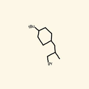 [CH2]C(C)CC(C)CC1CCC(C(C)(C)C)CC1